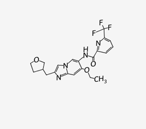 CCOc1cc2nc(CC3CCOC3)cn2cc1NC(=O)c1cccc(C(F)(F)F)n1